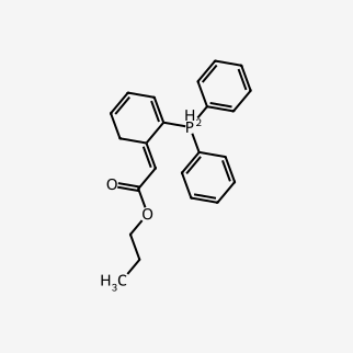 CCCOC(=O)C=C1CC=CC=C1[PH2](c1ccccc1)c1ccccc1